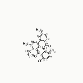 CCC(C)NC(=O)c1nc(C)ccc1C(=O)Nc1c(C)ccc(Cl)c1C(=O)OC